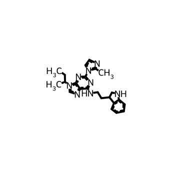 CCC(C)n1cnc2c(NCCC3CNc4ccccc43)nc(-n3ccnc3C)nc21